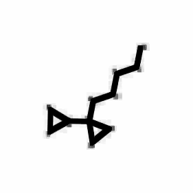 CCCCCC1([C]2CC2)CC1